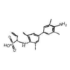 C=CC(Nc1c(C)cc(-c2cc(C)c(N)c(C)c2)cc1C)S(=O)(=O)O